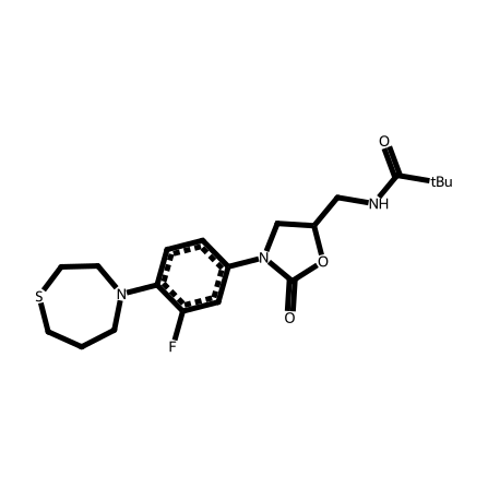 CC(C)(C)C(=O)NCC1CN(c2ccc(N3CCCSCC3)c(F)c2)C(=O)O1